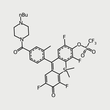 CCCCN1CCN(C(=O)c2ccc(C3=C4C=C(F)C(=O)C(F)=C4[Si](C)(C)c4c3cc(F)c(OS(=O)(=O)C(F)(F)F)c4F)c(C)c2)CC1